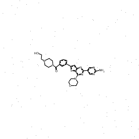 Nc1ncc(-c2nc(N3CCOCC3)c3sc(-c4cccc(C(=O)N5CCN(CCO)CC5)c4)cc3n2)cn1